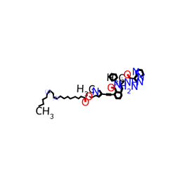 CCCCC/C=C\C/C=C\CCCCCCCC(=O)OCc1cc(C#Cc2cccc3cc([C@H](C)NC(=O)c4c(N)nn5cccnc45)n(-c4ccccc4)c(=O)c23)cn1C